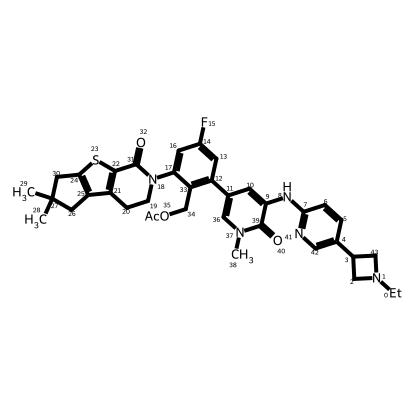 CCN1CC(c2ccc(Nc3cc(-c4cc(F)cc(N5CCc6c(sc7c6CC(C)(C)C7)C5=O)c4COC(C)=O)cn(C)c3=O)nc2)C1